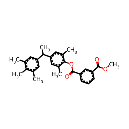 COC(=O)c1cccc(C(=O)Oc2c(C)cc(C(C)c3cc(C)c(C)c(C)c3)cc2C)c1